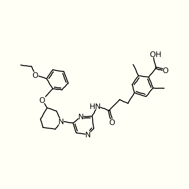 CCOc1ccccc1OC1CCCN(c2cncc(NC(=O)CCc3cc(C)c(C(=O)O)c(C)c3)n2)C1